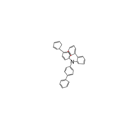 C1=CCC(c2ccc(N(c3ccc(-c4ccccc4)cc3)c3ccccc3-c3ccccc3)cc2)C=C1